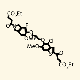 CCOC(=O)CCC(=O)c1cc2c(Cl)c(OCCCOc3c(OC)cc4c(c3F)CN(C(=O)CCC(=O)OCC)C4)c(OC)cc2s1